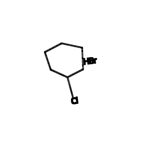 Br.ClC1CCCCC1